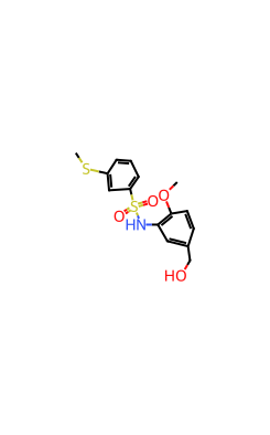 COc1ccc(CO)cc1NS(=O)(=O)c1cccc(SC)c1